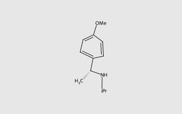 COc1ccc([C@@H](C)NC(C)C)cc1